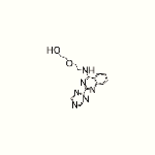 OCCOCCNc1nc(-c2ncncn2)nc2ccccc12